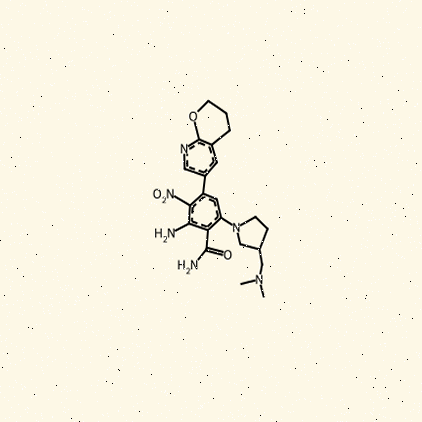 CN(C)CC1CCN(c2cc(-c3cnc4c(c3)CCCO4)c([N+](=O)[O-])c(N)c2C(N)=O)C1